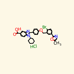 Cc1cnc(-c2ccc(Br)c(COc3ccc(-c4nc5cc(C(=O)O)ccc5n4C4CCCCC4)cc3)c2)o1.Cl